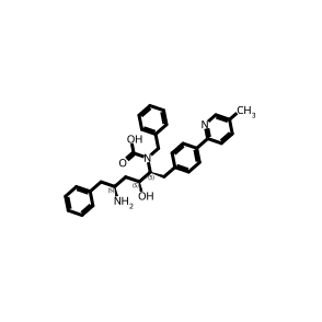 Cc1ccc(-c2ccc(C[C@@H]([C@@H](O)C[C@@H](N)Cc3ccccc3)N(Cc3ccccc3)C(=O)O)cc2)nc1